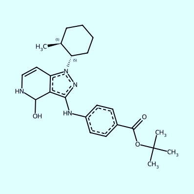 C[C@H]1CCCC[C@@H]1n1nc(Nc2ccc(C(=O)OC(C)(C)C)cc2)c2c1C=CNC2O